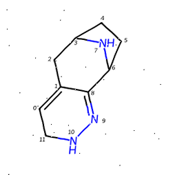 C1=C2CC3CCC(N3)C2=NNC1